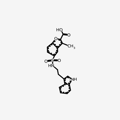 Cc1c(C(=O)O)oc2ccc(S(=O)(=O)NCCc3c[nH]c4ccccc34)cc12